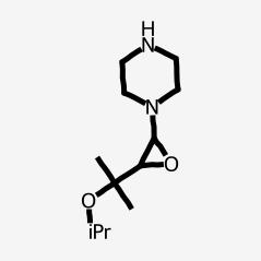 CC(C)OC(C)(C)C1OC1N1CCNCC1